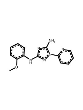 COc1ccccc1Nc1nc(N)n(-c2ccccn2)n1